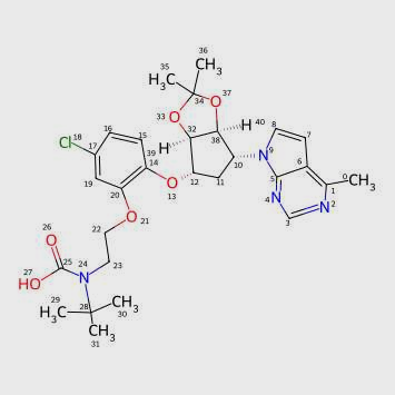 Cc1ncnc2c1ccn2[C@@H]1C[C@H](Oc2ccc(Cl)cc2OCCN(C(=O)O)C(C)(C)C)[C@H]2OC(C)(C)O[C@H]21